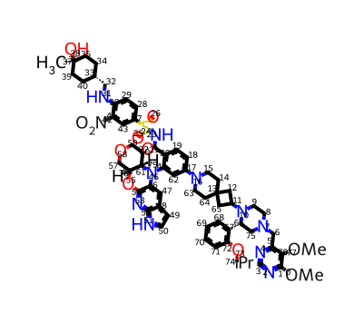 COc1ncnc(CN2CCN(C3CC4(CCN(c5ccc(C(=O)NS(=O)(=O)c6ccc(NC[C@H]7CC[C@](C)(O)CC7)c([N+](=O)[O-])c6)c(N6c7cc8cc[nH]c8nc7O[C@H]7COCC[C@@H]76)c5)CC4)C3)[C@@H](c3ccccc3OC(C)C)C2)c1OC